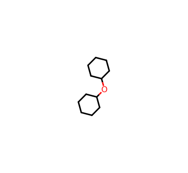 C1CCC(OC2CCCCC2)CC1